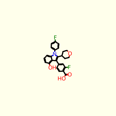 O=C(O)c1ccc(-c2c(C3CCOCC3)n(-c3ccc(F)cc3)c3cccc(O)c23)cc1F